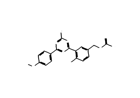 CC(C)(C)C(=O)NCc1ccc(Cl)c(-c2nc(O)nc(-c3ccc(OC(F)(F)F)cc3)n2)c1